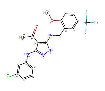 COc1ccc(C(F)(F)F)cc1CNc1[nH]nc(Nc2cccc(Cl)c2)c1C(N)=O